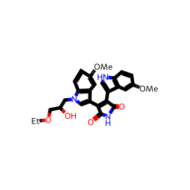 CCOCC(O)Cn1cc(C2=C(c3c[nH]c4ccc(OC)cc34)C(=O)NC2=O)c2cc(OC)ccc21